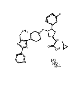 CCc1nc(-c2cccnc2)sc1C1CCN(CC2CC([C@H](CC3CC3)C(=O)O)CC2c2cccc(F)c2)CC1.Cl.Cl.Cl